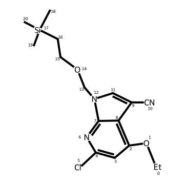 CCOc1cc(Cl)nc2c1c(C#N)cn2COCC[Si](C)(C)C